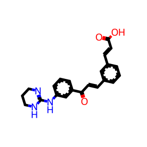 O=C(O)/C=C/c1cccc(/C=C/C(=O)c2cccc(NC3=NCCCN3)c2)c1